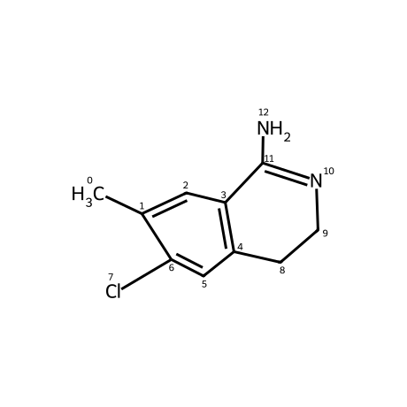 Cc1cc2c(cc1Cl)CCN=C2N